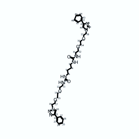 O=C(NCCCCNC(=O)NCCOCCOCCn1cc(-c2ccccc2)nn1)NCCOCCOCCn1cc(-c2ccccc2)nn1